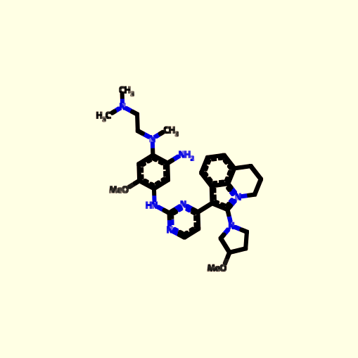 COc1cc(N(C)CCN(C)C)c(N)cc1Nc1nccc(-c2c(N3CCC(OC)C3)n3c4c(cccc24)CCC3)n1